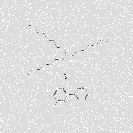 CC(=O)O.CCCCCCCCN(CCCCCCCC)CCCCCCCC.Clc1cccc(-c2ccccc2)c1Cl